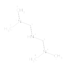 CN(C)CNCN(C)C